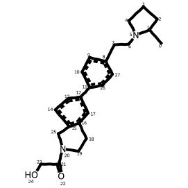 CC1CCCN1CCc1ccc(-c2ccc3c(c2)CCN(C(=O)CO)C3)cc1